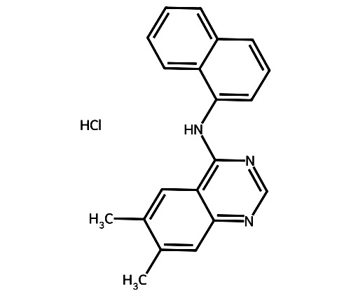 Cc1cc2ncnc(Nc3cccc4ccccc34)c2cc1C.Cl